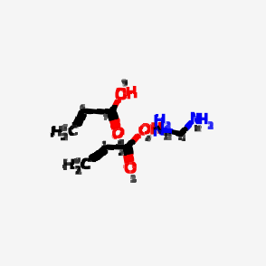 C=CC(=O)O.C=CC(=O)O.NCN